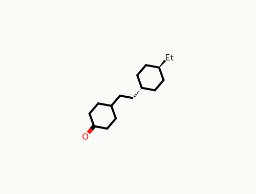 CC[C@H]1CC[C@H](CCC2CCC(=O)CC2)CC1